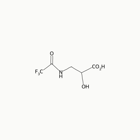 O=C(O)C(O)CNC(=O)C(F)(F)F